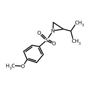 COc1ccc(S(=O)(=O)N2CC2C(C)C)cc1